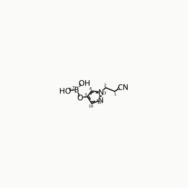 N#CCCn1cc(OB(O)O)cn1